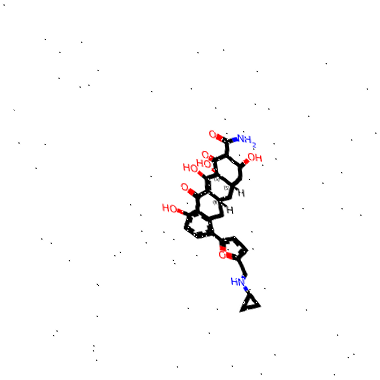 NC(=O)C1C(=O)[C@@]2(O)C(O)=C3C(=O)c4c(O)ccc(-c5ccc(CNC6CC6)o5)c4C[C@H]3C[C@H]2CC1O